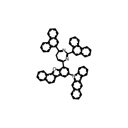 C1=C(c2cc(-n3c4ccccc4c4cc5ccccc5cc43)cc3c2oc2c4ccccc4ccc32)N=C(c2cc3ccccc3c3ccccc23)N=C(c2cc3ccccc3c3ccccc23)C1